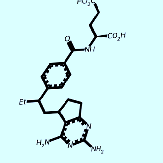 CCC(CC1CCc2nc(N)nc(N)c21)c1ccc(C(=O)N[C@@H](CCC(=O)O)C(=O)O)cc1